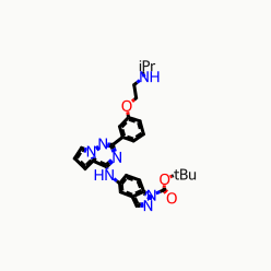 CC(C)NCCOc1cccc(-c2nc(Nc3ccc4c(cnn4C(=O)OC(C)(C)C)c3)c3cccn3n2)c1